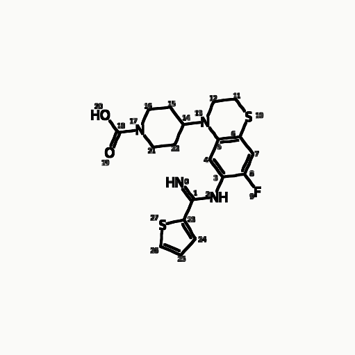 N=C(Nc1cc2c(cc1F)SCCN2C1CCN(C(=O)O)CC1)c1cccs1